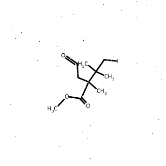 COC(=O)C(C)(CC=O)C(C)(C)CI